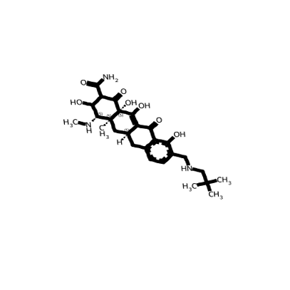 CN[C@@H]1C(O)C(C(N)=O)C(=O)[C@@]2(O)C(O)=C3C(=O)c4c(ccc(CNCC(C)(C)C)c4O)C[C@H]3C[C@@]12C